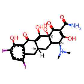 CN(C)[C@@H]1C(O)=C(C(N)=O)C(=O)[C@@]2(O)C(O)=C3C(=O)c4c(O)c(I)cc(I)c4C[C@H]3CC12